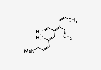 C=CC(/C=C\C)=C(C=C)\C=C(C)\C=C/CNC